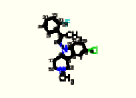 CC(=Cn1c2c(c3cc(Cl)ccc31)CN(C)CC2)c1ccccc1F